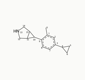 Cc1cc(C2CC2)ccc1C1C2CNCC21